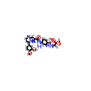 COC(=O)[C@H](C)NC(=O)c1ccc(NC(=O)c2cc3nccc(-c4ccc(OC)c(OC)c4)n3n2)cc1